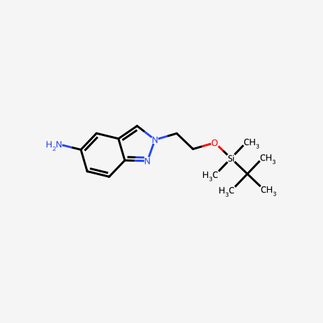 CC(C)(C)[Si](C)(C)OCCn1cc2cc(N)ccc2n1